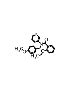 CCOc1ccccc1C(=O)N(Cc1ccc(OC)cc1)c1cccnc1